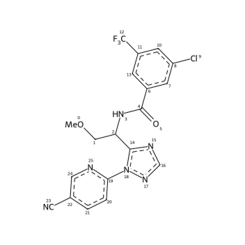 COCC(NC(=O)c1cc(Cl)cc(C(F)(F)F)c1)c1ncnn1-c1ccc(C#N)cn1